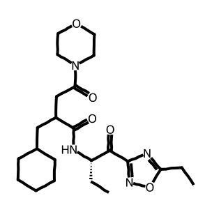 CCc1nc(C(=O)[C@H](CC)NC(=O)C(CC(=O)N2CCOCC2)CC2CCCCC2)no1